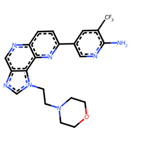 Nc1ncc(-c2ccc3ncc4ncn(CCN5CCOCC5)c4c3n2)cc1C(F)(F)F